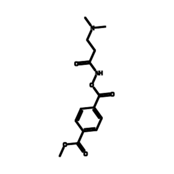 COC(=O)c1ccc(C(=O)ONC(=O)CCN(C)C)cc1